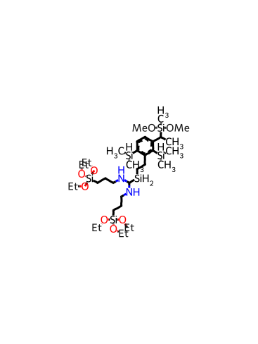 CCO[Si](CCCNC(NCCC[Si](OCC)(OCC)OCC)[SiH2]CCc1c([SiH](C)C)ccc(C(C)[Si](C)(OC)OC)c1[SiH](C)C)(OCC)OCC